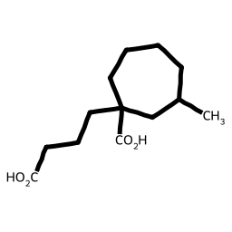 CC1CCCCC(CCCC(=O)O)(C(=O)O)C1